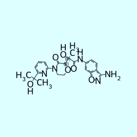 CC(C)(O)c1cccc(N2CCO[C@H]([C@@](C)(O)C(=O)Nc3ccc4c(N)noc4c3)C2=O)n1